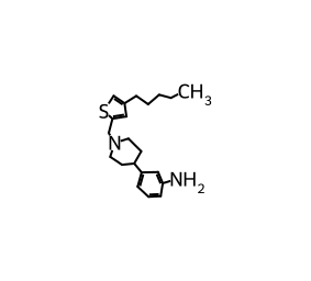 CCCCCc1csc(CN2CCC(c3cccc(N)c3)CC2)c1